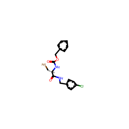 O=C(N[C@@H](CS)C(=O)NCc1ccc(Cl)cc1)OCc1ccccc1